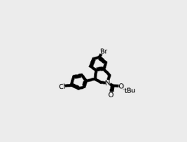 CC(C)(C)OC(=O)N1Cc2cc(Br)ccc2C(c2ccc(Cl)cc2)C1